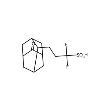 O=C1C2CC3CC1CC(C2)C3CCC(F)(F)S(=O)(=O)O